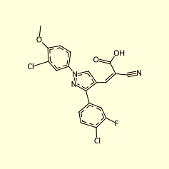 COc1ccc(-n2cc(C=C(C#N)C(=O)O)c(-c3ccc(Cl)c(F)c3)n2)cc1Cl